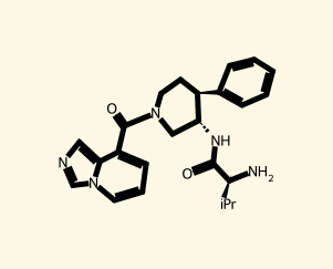 CC(C)[C@H](N)C(=O)N[C@@H]1CN(C(=O)c2cccn3cncc23)CC[C@H]1c1ccccc1